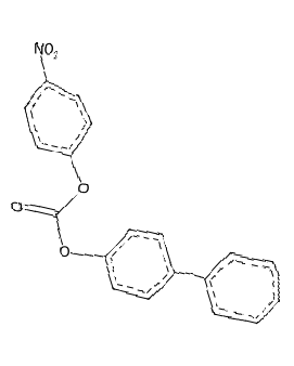 O=C(Oc1ccc(-c2ccccc2)cc1)Oc1ccc([N+](=O)[O-])cc1